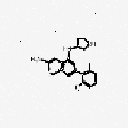 Cc1cccc(F)c1-c1cc2c(c(NC3CCNC3)c1)C=C(N)NC2